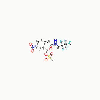 CS(=O)(=O)OCc1cc([N+](=O)[O-])ccc1CC(=O)NCC(F)(F)C(F)(F)F